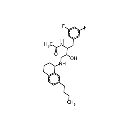 CCCCc1ccc2c(c1)C(NCC(O)C(Cc1cc(F)cc(F)c1)NC(C)=O)CCC2